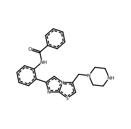 O=C(Nc1ccccc1-c1cn2c(CN3CCNCC3)csc2n1)c1ccccc1